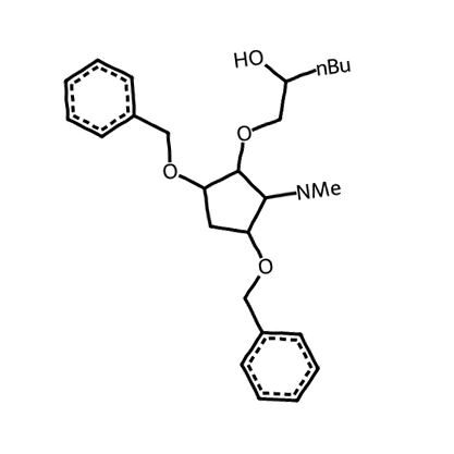 CCCCC(O)COC1C(OCc2ccccc2)CC(OCc2ccccc2)C1NC